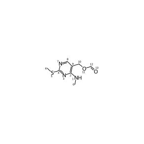 CNc1nc(SC)ncc1COC=O